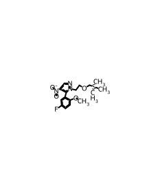 COc1ccc(F)cc1-c1c([N+](=O)[O-])cnn1CCOCS(C)(C)C